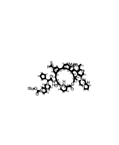 CCn1c(-c2cc(N3CCN4CCC[C@@H]4C3)cnc2[C@H](C)OC)c2c3cc(ccc31)-c1cc(cc(C(F)F)c1)C[C@H](NC(=O)[C@H](C1CCCC1)N1CC[C@]3(CCN(C(=O)OC(C)(C)C)C3)C1)C(=O)N1CCC[C@H](N1)C(=O)OCC(C)(C)C2